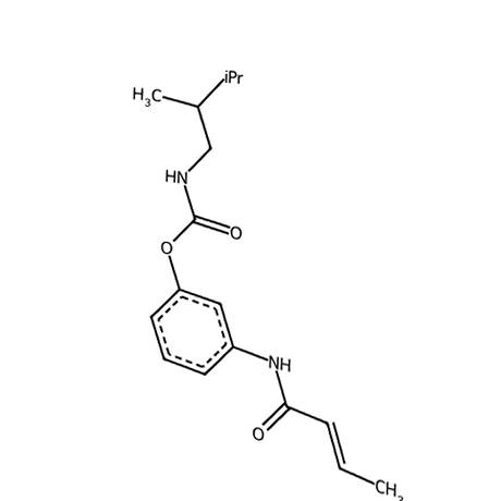 CC=CC(=O)Nc1cccc(OC(=O)NCC(C)C(C)C)c1